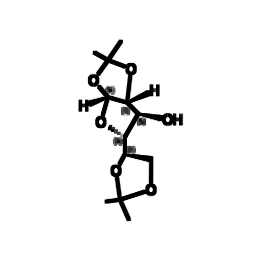 CC1(C)O[C@H]2O[C@@H]([C@H]3COC(C)(C)O3)[C@H](O)[C@H]2O1